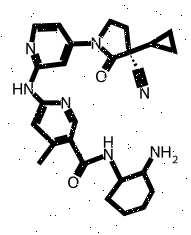 Cc1cc(Nc2cc(N3CC[C@@](C#N)(C4CC4)C3=O)ccn2)ncc1C(=O)NC1CCCCC1N